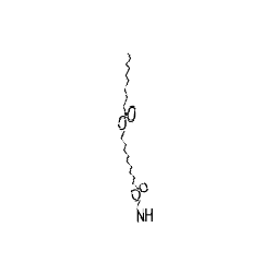 CCCCCCCCCC(=O)OCCCCCCCCCCC(=O)OCCNC